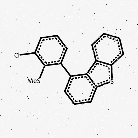 CSc1c(Cl)cccc1-c1cccc2sc3ccccc3c12